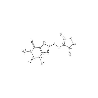 Cn1c(=O)c2[nH]c(CCN3C(=O)CSC3=S)nc2n(C)c1=O